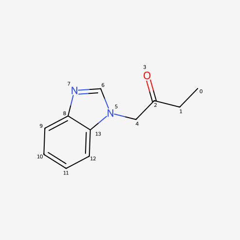 CCC(=O)Cn1cnc2ccccc21